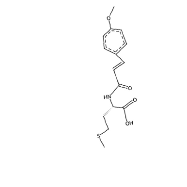 COc1ccc(C=CC(=O)N[C@@H](CCSC)C(=O)O)cc1